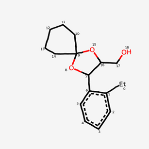 CCc1ccccc1C1OC2(CCCCC2)OC1CO